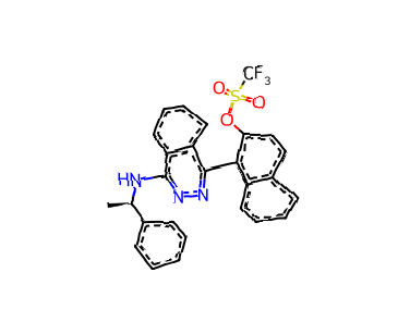 C[C@@H](Nc1nnc(-c2c(OS(=O)(=O)C(F)(F)F)ccc3ccccc23)c2ccccc12)c1ccccc1